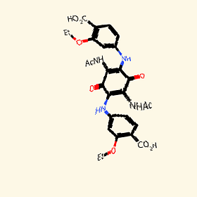 CCOc1cc(NC2=C(NC(C)=O)C(=O)C(Nc3ccc(C(=O)O)c(OCC)c3)=C(NC(C)=O)C2=O)ccc1C(=O)O